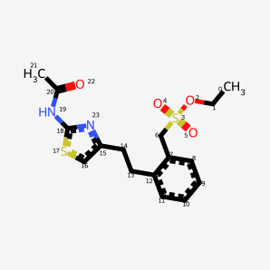 CCOS(=O)(=O)Cc1ccccc1CCc1csc(NC(C)=O)n1